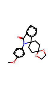 COc1ccc(N2C(=O)c3ccccc3C23CCC2(CC3)OCCO2)cc1